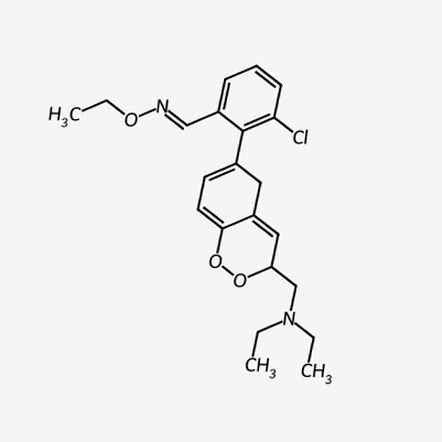 CCON=Cc1cccc(Cl)c1C1=CC=C2OOC(CN(CC)CC)C=C2C1